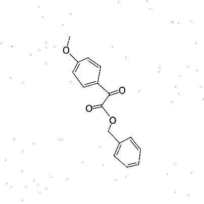 COc1ccc(C(=O)C(=O)OCc2ccccc2)cc1